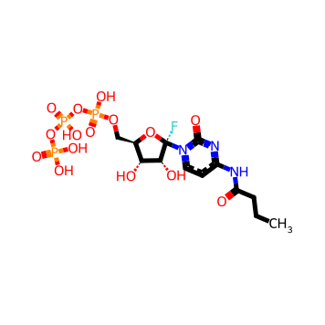 CCCC(=O)Nc1ccn([C@]2(F)O[C@H](COP(=O)(O)OP(=O)(O)OP(=O)(O)O)[C@@H](O)[C@H]2O)c(=O)n1